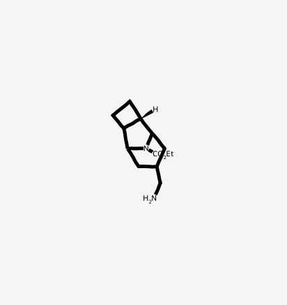 CCOC(=O)N1C2CC(CN)CC1[C@H]1CCC21